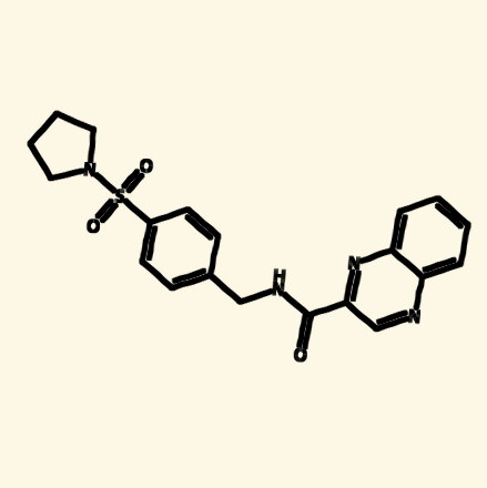 O=C(NCc1ccc(S(=O)(=O)N2CCCC2)cc1)c1cnc2ccccc2n1